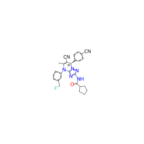 CC1=C(C#N)[C@@H](c2ccc(C#N)cc2)n2nc(NC(=O)C3CCCC3)nc2N1c1cccc(CF)c1